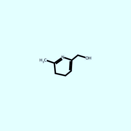 CC1=NC(CO)=CCC1